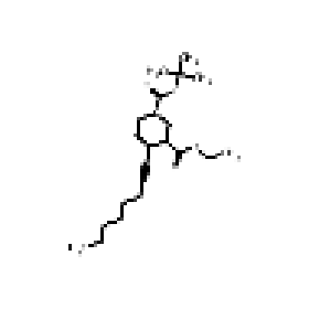 CCCCCCC#CC1CCN(C(=O)OC(C)(C)C)CC1C(=O)OCC